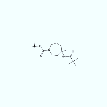 CC1(N[S+]([O-])C(C)(C)C)CCCN(C(=O)OC(C)(C)C)CC1